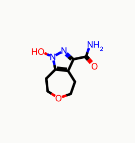 NC(=O)c1nn(O)c2c1CCOCC2